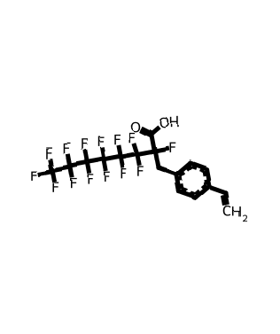 C=Cc1ccc(CC(F)(C(=O)O)C(F)(F)C(F)(F)C(F)(F)C(F)(F)C(F)(F)C(F)(F)F)cc1